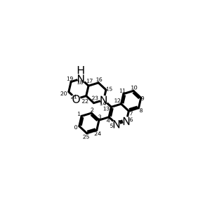 c1ccc(-c2nnc3ccccc3c2N2CCC3NCCOC3C2)cc1